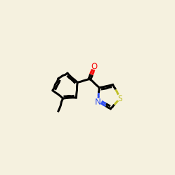 Cc1cccc(C(=O)c2cscn2)c1